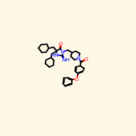 N=C1NC(CC2CCCCC2)(CC2CCCCC2)C(=O)N1CC1CCN(C(=O)C2C=CC(Oc3ccccc3)=CC2)CC1